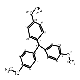 FC(F)(F)Oc1ccc(P(c2ccc(OC(F)(F)F)cc2)c2ccc(OC(F)(F)F)cc2)cc1